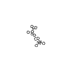 c1ccc(-c2nc(-c3ccccc3)nc(-c3cccc4c(-c5ccc6c(c5)oc5c(-c7ccccc7)cc(-n7c8ccccc8c8ccccc87)cc56)cccc34)n2)cc1